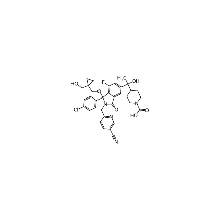 CC(O)(c1cc(F)c2c(c1)C(=O)N(Cc1ccc(C#N)cn1)C2(OCC1(CO)CC1)c1ccc(Cl)cc1)C1CCN(C(=O)O)CC1